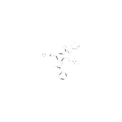 COCc1c(OC(=O)c2ccccc2)cc(OC)cc1C(=O)OC1CCOC1